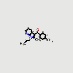 C=CCn1c(C)c(C(=O)c2ccc(C)cc2)c2cccnc21